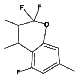 Cc1cc(F)c2c(c1)OC(F)(F)C(C)C2C